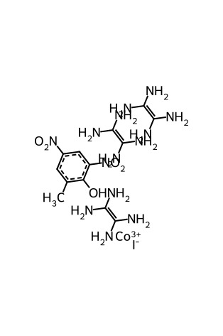 Cc1cc([N+](=O)[O-])cc([N+](=O)[O-])c1O.NC(N)=C(N)N.NC(N)=C(N)N.NC(N)=C(N)N.[Co+3].[I-]